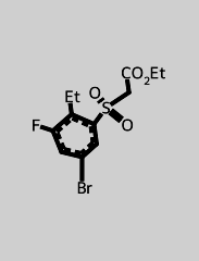 CCOC(=O)CS(=O)(=O)c1cc(Br)cc(F)c1CC